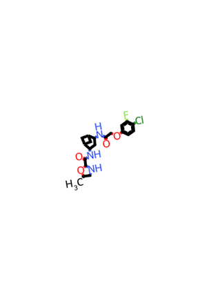 CC1CNC(C(=O)NC2CC(NC(=O)COc3ccc(Cl)c(F)c3)C3CC2C3)O1